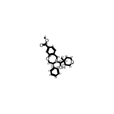 COC(=O)c1ccc2c(c1)OC[C@H](c1ccccc1)N(C(O)C1(C)CCOCC1)C2